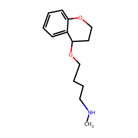 CNCCCCOC1CCOc2ccccc21